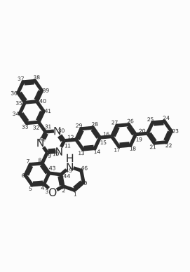 C1=Cc2oc3cccc(-c4nc(-c5ccc(-c6ccc(-c7ccccc7)cc6)cc5)nc(-c5ccc6ccccc6c5)n4)c3c2NC1